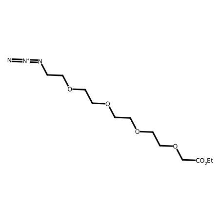 CCOC(=O)COCCOCCOCCOCCN=[N+]=[N-]